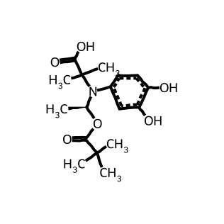 C[C@H](OC(=O)C(C)(C)C)N(c1ccc(O)c(O)c1)C(C)(C)C(=O)O